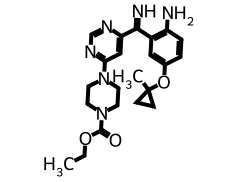 CCOC(=O)N1CCN(c2cc(C(=N)c3cc(OC4(C)CC4)ccc3N)ncn2)CC1